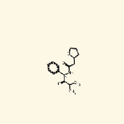 CC(C)C(=O)[C@H](NC(=O)CC1CCCO1)c1ccccc1